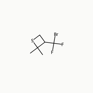 CC1(C)SCC1C(F)(F)Br